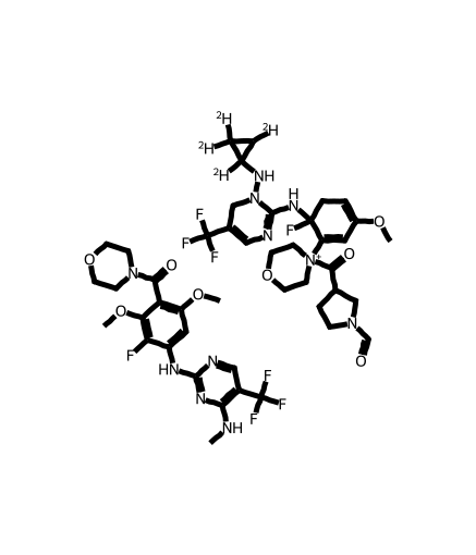 CNc1nc(Nc2cc(OC)c(C(=O)N3CCOCC3)c(OC)c2F)ncc1C(F)(F)F.[2H]C1C([2H])([2H])C1([2H])NN1CC(C(F)(F)F)=CN=C1NC1(F)CC=C(OC)C=C1[N+]1(C(=O)C2CCN(C=O)C2)CCOCC1